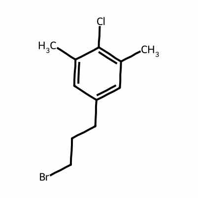 Cc1cc(CCCBr)cc(C)c1Cl